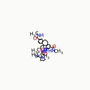 CNC(=O)c1ccc2c(c1)CCc1cc(C(=O)NC)ccc1C2(C[C@H](C)NCC(=O)N1CCCC1C#N)c1nnc(C(C)C)o1